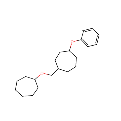 [c]1ccccc1OC1CCCC(COC2CC[CH]CCC2)CC1